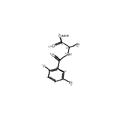 CCc1ccc(F)c(C(=O)NC(C(=O)OC)C(C)C)c1